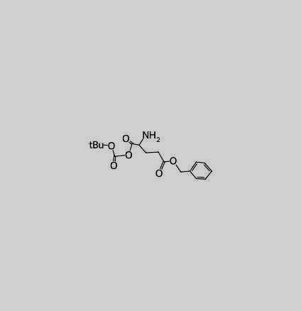 CC(C)(C)OC(=O)OC(=O)C(N)CCC(=O)OCc1ccccc1